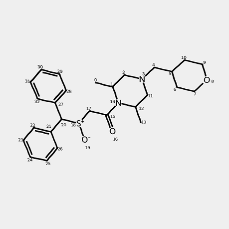 CC1CN(CC2CCOCC2)CC(C)N1C(=O)C[S+]([O-])C(c1ccccc1)c1ccccc1